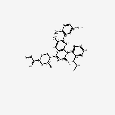 C=CC(=O)N1CCN(c2nc(=O)n(-c3ccccc3CCC)c3nc(-c4cc(F)ccc4O)c(Cl)cc23)[C@@H](C)C1